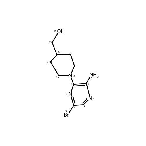 Nc1ncc(Br)nc1N1CCC(CO)CC1